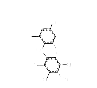 N#Cc1c(Cl)c(Cl)c(Nc2c(Cl)cc(C(F)(F)F)cc2Cl)c(C#N)c1Cl